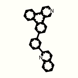 c1cc(-c2ccc3c4cnccc4c4ccccc4c3c2)cc(-c2ccc3ccccc3n2)c1